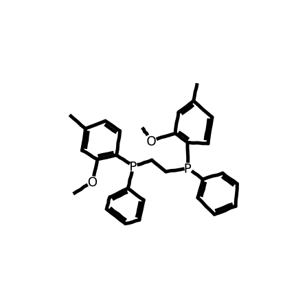 COc1cc(C)ccc1P(CCP(c1ccccc1)c1ccc(C)cc1OC)c1ccccc1